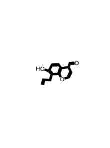 C=CCc1c(O)ccc2c1OC=CC2C=O